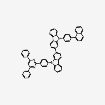 c1ccc(-c2cc(-c3ccccc3)nc(-c3ccc(-n4c5ccccc5c5ccc(-c6ccc7c8ccccc8n(-c8ccc(-c9cccc%10ccccc9%10)cc8)c7c6)cc54)cc3)n2)cc1